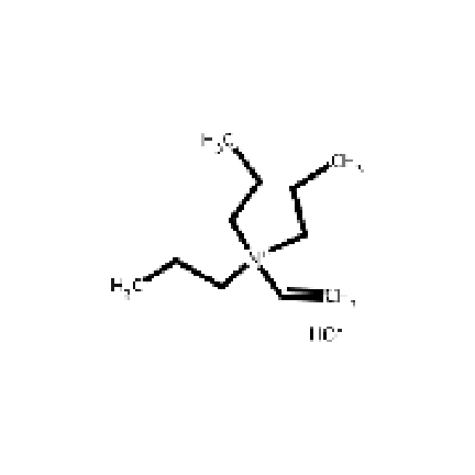 C=C[N+](CCC)(CCC)CCC.[OH-]